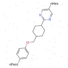 CCCCCCc1cnc(C2CCC(COc3ccc(CCCCC)cc3)CC2)nc1